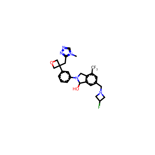 Cn1cnnc1CC1(c2cccc(N3Cc4c(cc(CN5CC(F)C5)cc4C(F)(F)F)C3O)c2)COC1